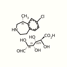 C[C@H]1CNCCc2ccc(Cl)cc21.O=C[C@H](O)[C@@H](O)[C@H](O)[C@H](O)C(=O)O